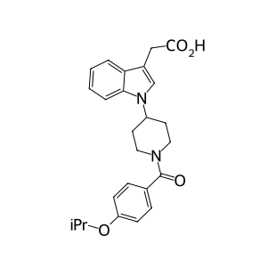 CC(C)Oc1ccc(C(=O)N2CCC(n3cc(CC(=O)O)c4ccccc43)CC2)cc1